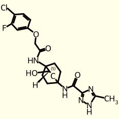 Cc1nc(C(=O)NC23CCC(NC(=O)COc4ccc(Cl)c(F)c4)(CC2)[C@@H](O)C3)n[nH]1